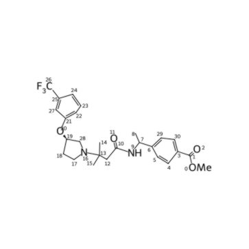 COC(=O)c1ccc(C(C)NC(=O)CC(C)(C)N2CC[C@@H](Oc3cccc(C(F)(F)F)c3)C2)cc1